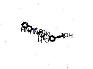 C/C(NC(=O)N[C@H]1COc2ccc(C#CC(C)(C)O)cc2N(C)C1=O)=C(/C=N)Cc1ccccc1